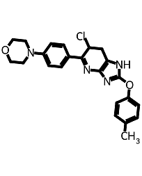 Cc1ccc(Oc2nc3c([nH]2)CC(Cl)C(c2ccc(N4CCOCC4)cc2)=N3)cc1